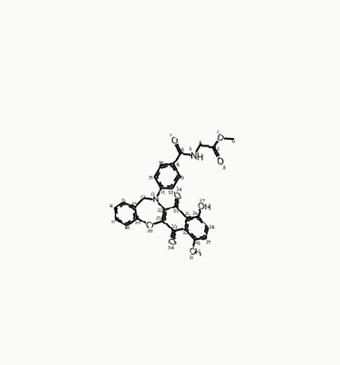 COC(=O)CNC(=O)c1ccc(N2Cc3ccccc3OC3=C2C(=O)c2c(O)ccc(O)c2C3=O)cc1